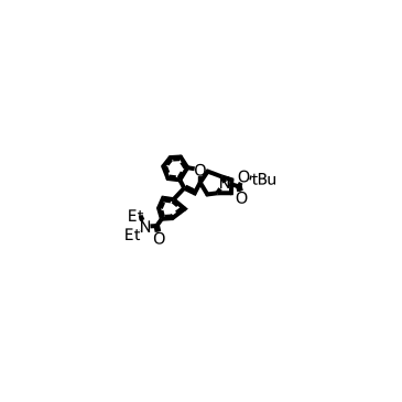 CCN(CC)C(=O)c1ccc(C2=CC3(CC4CCC(C3)N4C(=O)OC(C)(C)C)Oc3ccccc32)cc1